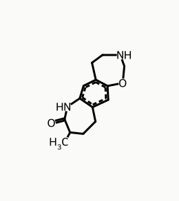 CC1CCc2cc3c(cc2NC1=O)CCNCO3